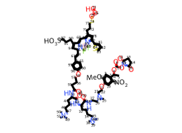 COc1cc(C(C)OC(=O)ON2C(=O)CCC2=O)c([N+](=O)[O-])cc1OCCN(C)CCNC(=O)C(CCCC[N+](C)(C)C)NC(=O)C(CCCC[N+](C)(C)C)NC(=O)CCCOc1ccc(/C=C/C2=[N+]3C(=Cc4c(CCCSOOO)cc(-c5cccs5)n4[B-]3(F)F)C(CCCS(=O)(=O)O)=C2)cc1